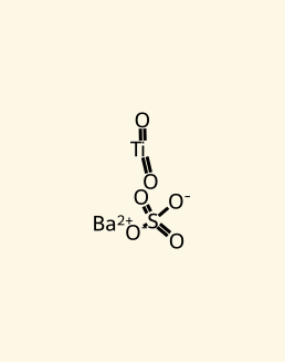 O=S(=O)([O-])[O-].[Ba+2].[O]=[Ti]=[O]